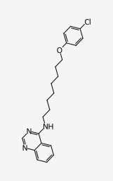 Clc1ccc(OCCCCCCCCNc2ncnc3ccccc23)cc1